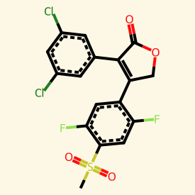 CS(=O)(=O)c1cc(F)c(C2=C(c3cc(Cl)cc(Cl)c3)C(=O)OC2)cc1F